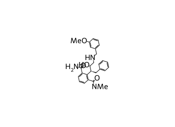 CNC(=O)c1cccc(C(N)=O)c1[C@H](Cc1ccccc1)[C@@H](O)CNCc1cccc(OC)c1